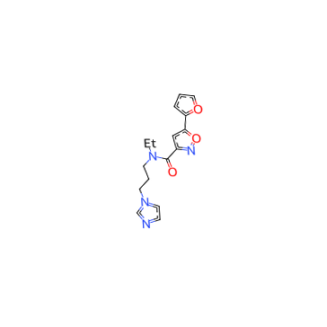 CCN(CCCn1ccnc1)C(=O)c1cc(-c2ccco2)on1